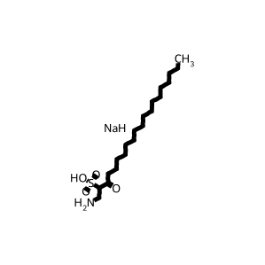 CCCCCCCCCCCCCCCCCC(=O)C(CN)S(=O)(=O)O.[NaH]